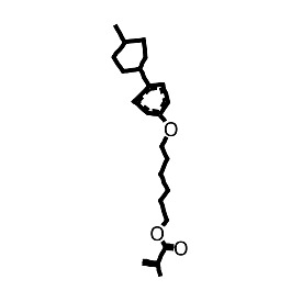 C=C(C)C(=O)OCCCCCCOc1ccc(C2CCC(C)CC2)cc1